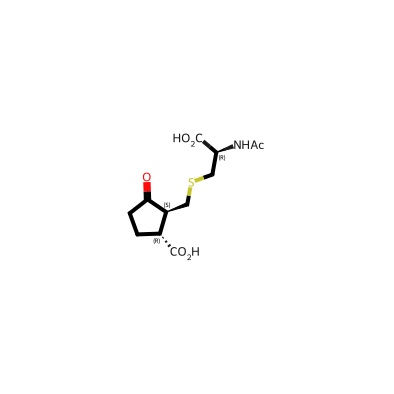 CC(=O)N[C@@H](CSC[C@@H]1C(=O)CC[C@H]1C(=O)O)C(=O)O